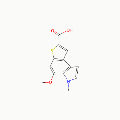 COc1cc2sc(C(=O)O)cc2c2ccn(C)c12